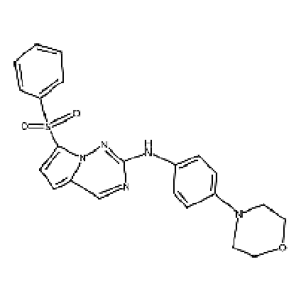 O=S(=O)(c1ccccc1)c1ccc2cnc(Nc3ccc(N4CCOCC4)cc3)nn12